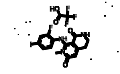 Cn1c(Nc2ccc(I)cc2F)c2c(cc1=O)CCNC2=O.O=C(O)C(F)(F)F